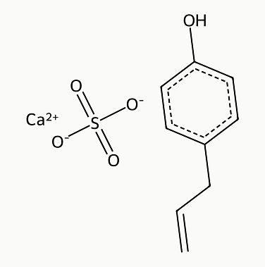 C=CCc1ccc(O)cc1.O=S(=O)([O-])[O-].[Ca+2]